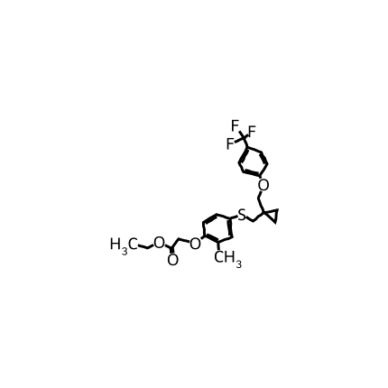 CCOC(=O)COc1ccc(SCC2(COc3ccc(C(F)(F)F)cc3)CC2)cc1C